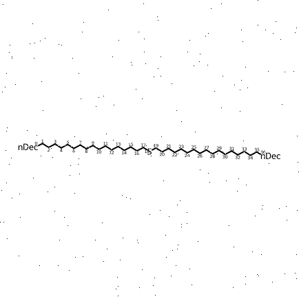 CCCCCCCCCCCCCCCCCCCCCCCCCCCSCCCCCCCCCCCCCCCCCCCCCCCCCCC